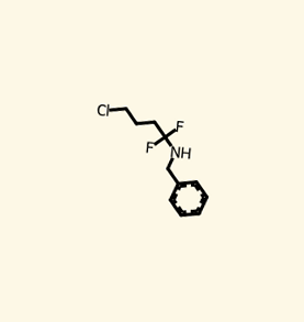 FC(F)(CCCCl)NCc1ccccc1